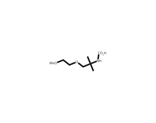 COCCOCC(C)(C)NC(=O)O